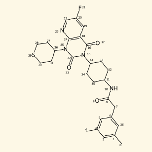 Cc1cc(C)cc(CC(=O)NC2CCC(n3c(=O)c4cc(F)cnc4n(C4CCSCC4)c3=O)CC2)c1